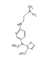 CN(C)CCNc1ccc(N(c2scnc2C(=O)O)S(=O)(=O)O)cn1